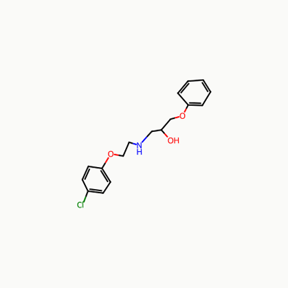 OC(CNCCOc1ccc(Cl)cc1)COc1ccccc1